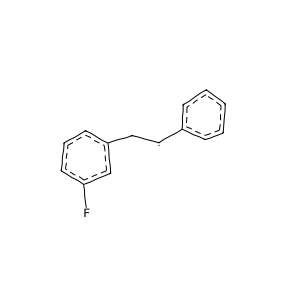 Fc1cccc(C[CH]c2ccccc2)c1